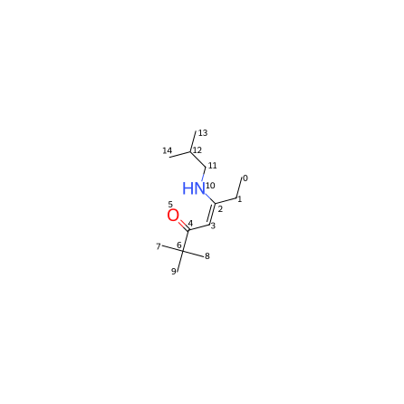 CC/C(=C/C(=O)C(C)(C)C)NCC(C)C